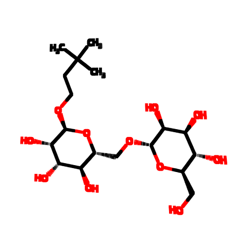 CC(C)(C)CCO[C@H]1O[C@H](CO[C@H]2O[C@H](CO)[C@@H](O)[C@H](O)[C@@H]2O)[C@@H](O)[C@H](O)[C@@H]1O